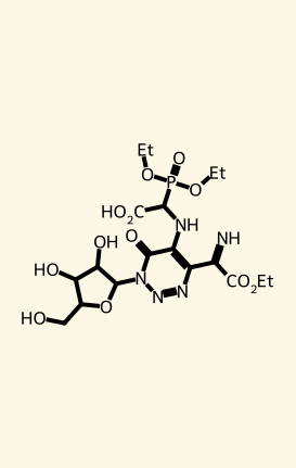 CCOC(=O)C(=N)c1nnn(C2OC(CO)C(O)C2O)c(=O)c1NC(C(=O)O)P(=O)(OCC)OCC